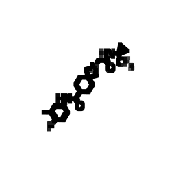 Cc1cc(NC(=O)C2CCC3(CC2)CN(CC(=O)NC2(C(F)(F)F)CC2)C3)ccc1F